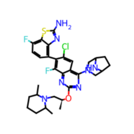 CC1CCCC(C)N1C[C@H](C)Oc1nc(N2CC3CCC(C2)N3)c2cc(Cl)c(-c3ccc(F)c4sc(N)nc34)c(F)c2n1